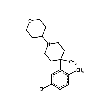 Cc1ccc(Cl)cc1C1(C)CCN(C2CCOCC2)CC1